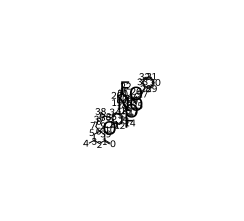 C=C1CC(C)CC(CC)(COc2cc(F)c(C(=O)N3CC[C@@H](F)[C@H]3C(=O)OCc3ccccc3)cc2C2CC2)C1